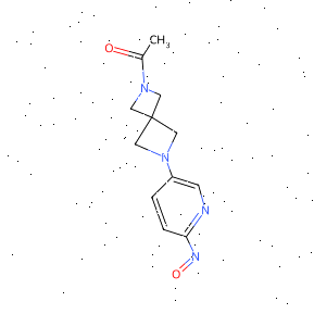 CC(=O)N1CC2(C1)CN(c1ccc(N=O)nc1)C2